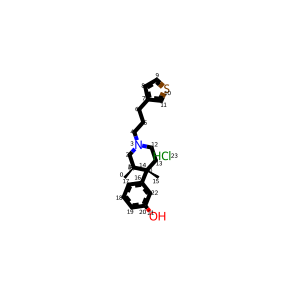 C[C@H]1CN(CCCc2ccsc2)CC[C@]1(C)c1cccc(O)c1.Cl